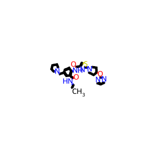 CCCNC(=O)c1cc(CN2CCCCC2)ccc1NC(=O)c1csc(N2CCC(Oc3ncccn3)CC2)n1